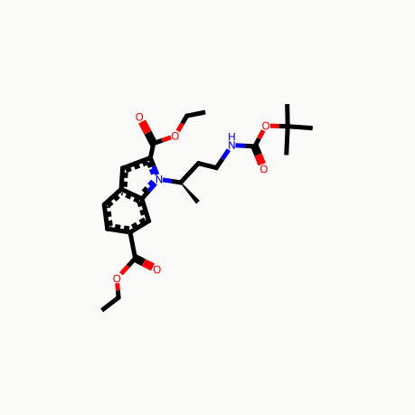 CCOC(=O)c1ccc2cc(C(=O)OCC)n([C@H](C)CCNC(=O)OC(C)(C)C)c2c1